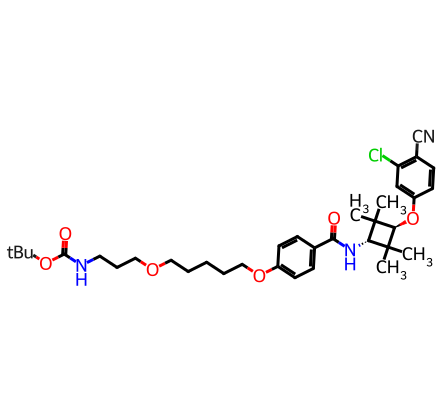 CC(C)(C)OC(=O)NCCCOCCCCCOc1ccc(C(=O)N[C@H]2C(C)(C)[C@H](Oc3ccc(C#N)c(Cl)c3)C2(C)C)cc1